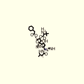 CC(C)[C@@H](C)C(=O)N/C(=N/C=N)c1ccc([C@]2(C#N)O[C@H](COC(=O)CC3CCCCC3)[C@@H](OC(=O)[C@@H](N)C(C)(C)C)[C@H]2O)[nH]1